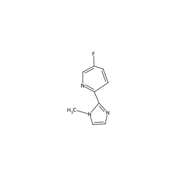 Cn1ccnc1-c1ccc(F)cn1